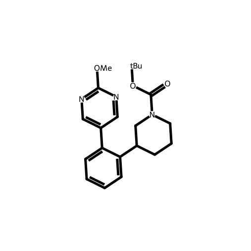 COc1ncc(-c2ccccc2C2CCCN(C(=O)OC(C)(C)C)C2)cn1